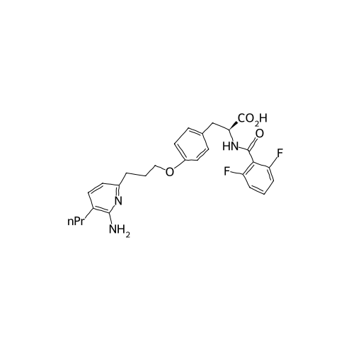 CCCc1ccc(CCCOc2ccc(C[C@H](NC(=O)c3c(F)cccc3F)C(=O)O)cc2)nc1N